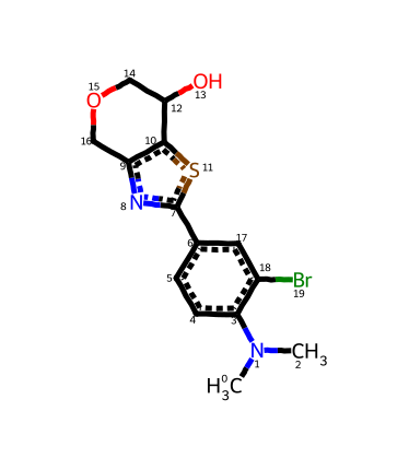 CN(C)c1ccc(-c2nc3c(s2)C(O)COC3)cc1Br